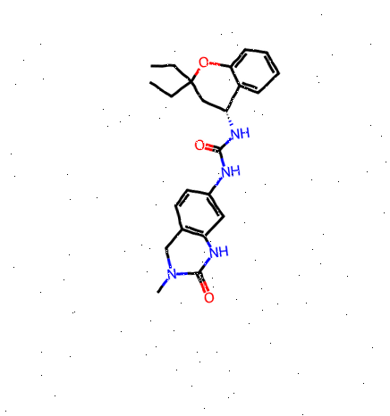 CCC1(CC)C[C@@H](NC(=O)Nc2ccc3c(c2)NC(=O)N(C)C3)c2ccccc2O1